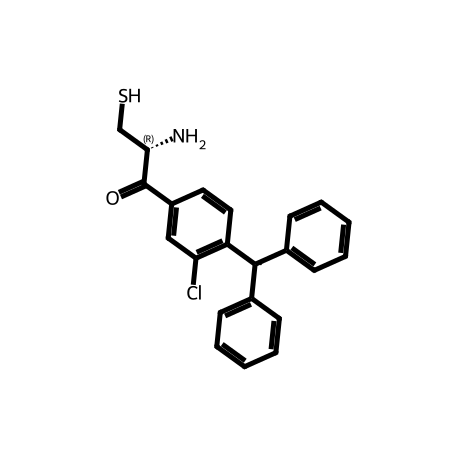 N[C@@H](CS)C(=O)c1ccc([C](c2ccccc2)c2ccccc2)c(Cl)c1